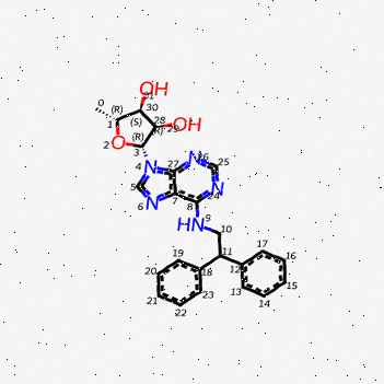 C[C@H]1O[C@@H](n2cnc3c(NCC(c4ccccc4)c4ccccc4)ncnc32)[C@H](O)[C@@H]1O